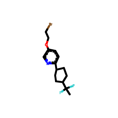 CC(F)(F)C1CCC(c2ccc(OCCBr)cn2)CC1